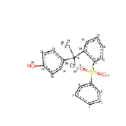 O=S(=O)(c1ccccc1)c1ccccc1C(c1ccc(O)cc1)(C(F)(F)F)C(F)(F)F